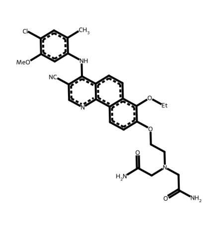 CCOc1c(OCCN(CC(N)=O)CC(N)=O)ccc2c1ccc1c(Nc3cc(OC)c(Cl)cc3C)c(C#N)cnc12